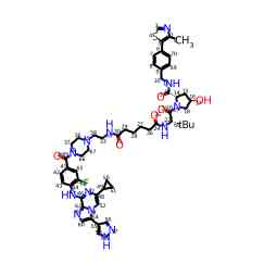 Cc1ncsc1-c1ccc(CNC(=O)[C@@H]2C[C@@H](O)CN2C(=O)[C@@H](NC(=O)CCCCC(=O)NCCN2CCN(C(=O)c3ccc(Nc4nc(C5CC5)cn5c(-c6cn[nH]c6)cnc45)c(F)c3)CC2)C(C)(C)C)cc1